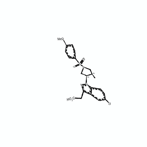 COc1ccc(S(=O)(=O)N2C[C@@H](C)[C@@H](n3nc(CC(=O)O)c4cc(Cl)ccc43)C2)cc1